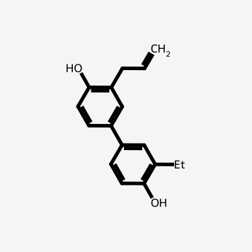 C=CCc1cc(-c2ccc(O)c(CC)c2)ccc1O